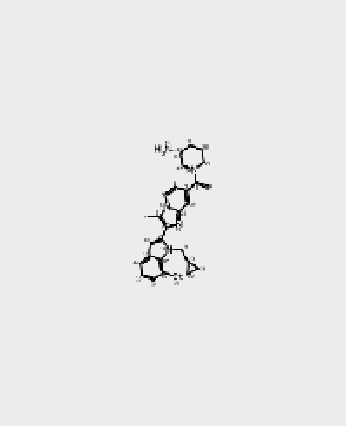 C=C(c1ccn2c(C)c(-c3cc4cccc(CC)c4n3CC3CC3)nc2c1)N1CCC[C@@H](N)C1